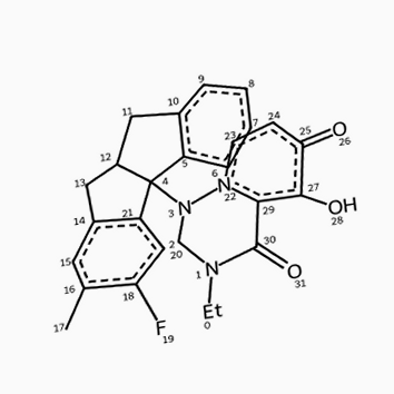 CCN1CN(C23c4ccccc4CC2Cc2cc(C)c(F)cc23)n2ccc(=O)c(O)c2C1=O